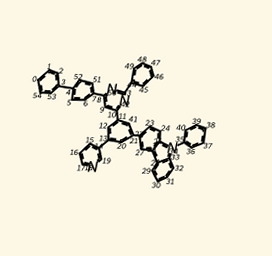 c1ccc(-c2ccc(-c3cc(-c4cc(-c5cccnc5)cc(-c5ccc6c(c5)c5ccccc5n6-c5ccccc5)c4)nc(-c4ccccc4)n3)cc2)cc1